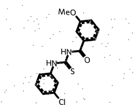 COc1cccc(C(=O)NC(=S)Nc2cccc(Cl)c2)c1